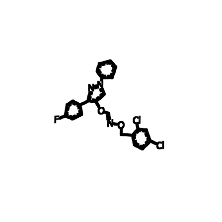 Fc1ccc(-c2nn(-c3ccccc3)cc2O/C=N/OCc2ccc(Cl)cc2Cl)cc1